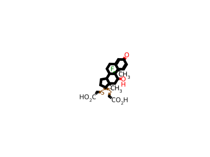 C[C@]12C=CC(=O)C=C1CCC1C3CCC(SCC(=O)O)(SCC(=O)O)[C@@]3(C)CC(O)C12F